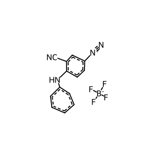 F[B-](F)(F)F.N#Cc1cc([N+]#N)ccc1Nc1ccccc1